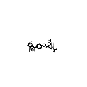 CC(C)NCC(O)COc1ccc(-c2nn(C)c3ccsc23)cc1